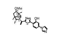 C=C(c1nnc(-c2ccc(-n3ccnc3)cc2O)s1)[C@@H]1C[C@]2(C)N[C@@](C)(C[C@H]2OC)[C@H]1F